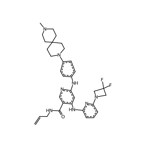 C=CCNC(=O)c1cnc(Nc2ccc(N3CCC4(CCN(C)CC4)CC3)cc2)cc1Nc1cccc(N2CC(F)(F)C2)n1